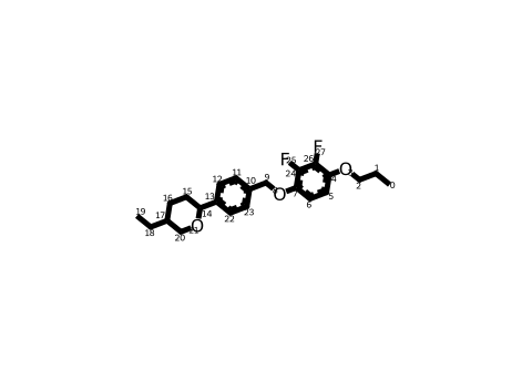 CCCOc1ccc(OCc2ccc(C3CCC(CC)CO3)cc2)c(F)c1F